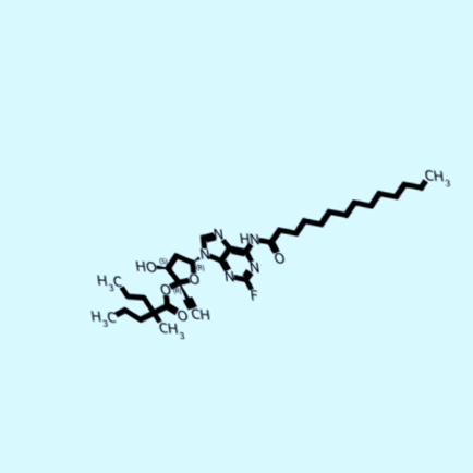 C#C[C@]1(OC(=O)C(C)(CCC)CCC)O[C@@H](n2cnc3c(NC(=O)CCCCCCCCCCCCC)nc(F)nc32)C[C@@H]1O